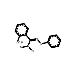 CCN(CC)C(=NSc1ccccc1)c1ccccc1C(=O)O